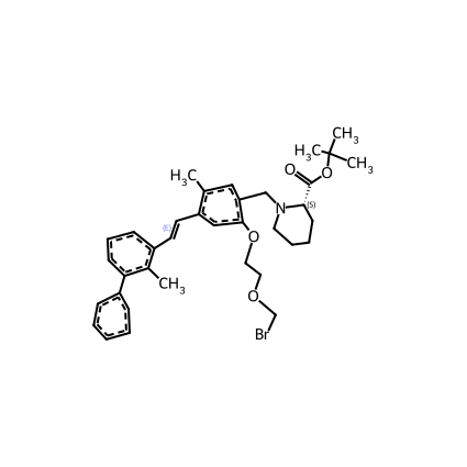 Cc1cc(CN2CCCC[C@H]2C(=O)OC(C)(C)C)c(OCCOCBr)cc1/C=C/c1cccc(-c2ccccc2)c1C